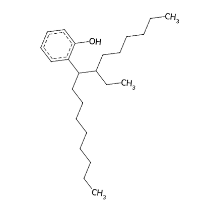 CCCCCCCCC(c1ccccc1O)C(CC)CCCCCC